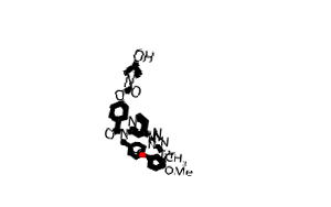 COc1ccc(C23CCC(CN(C(=O)C4CCC(OC(=O)N5CC(O)C5)CC4)c4cc(-n5nnc(C(C)C)n5)ccn4)(CC2)CC3)cc1C